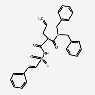 C=CCC(C(=O)NS(=O)(=O)/C=C/c1ccccc1)C(=O)N(Cc1ccccc1)Cc1ccccc1